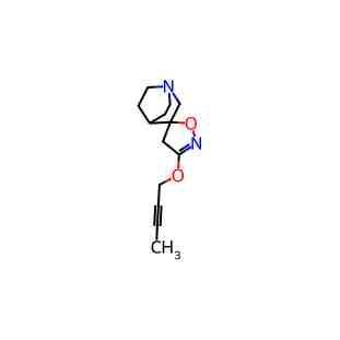 CC#CCOC1=NOC2(C1)CN1CCC2CC1